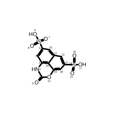 O=C1Nc2cc(S(=O)(=O)O)cc3cc(S(=O)(=O)O)cc(c23)O1